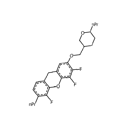 CCCc1ccc2c(c1F)Oc1c(cc(OCC3CCC(CCC)OC3)c(F)c1F)C2